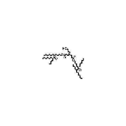 CCCCCCC(CCCC)C(=O)N(CCCCCC)CCCCOC(=O)CCN(CCCO)CCC(=O)OCCCCN(CCCCCC)C(=O)C(CCCC)CCCCCC